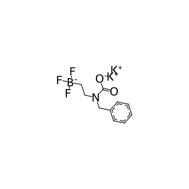 O=C([O-])N(CC[B-](F)(F)F)Cc1ccccc1.[K+].[K+]